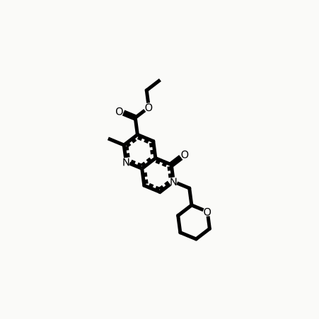 CCOC(=O)c1cc2c(=O)n(CC3CCCCO3)ccc2nc1C